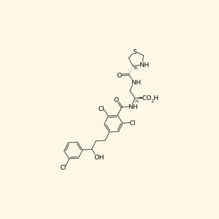 O=C(N[C@@H](CNC(=O)[C@@H]1CSCN1)C(=O)O)c1c(Cl)cc(CCC(O)c2cccc(Cl)c2)cc1Cl